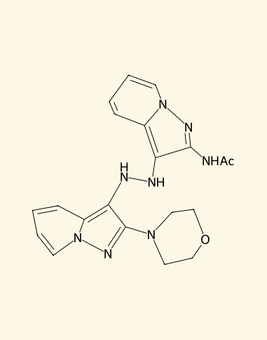 CC(=O)Nc1nn2ccccc2c1NNc1c(N2CCOCC2)nn2ccccc12